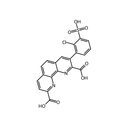 O=C(O)c1ccc2ccc3cc(-c4cccc(S(=O)(=O)O)c4Cl)c(C(=O)O)nc3c2n1